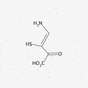 N/C=C(\S)C(=O)C(=O)O